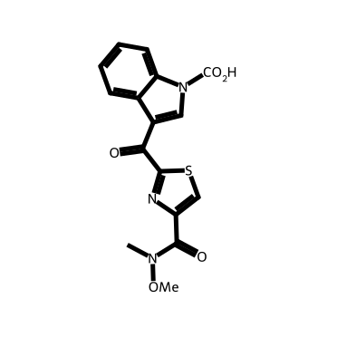 CON(C)C(=O)c1csc(C(=O)c2cn(C(=O)O)c3ccccc23)n1